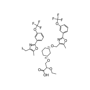 CCOC(CO[C@@H]1CCC[C@H](OCc2nc(-c3cccc(OC(F)(F)F)c3)oc2C)C1)C(=O)O.Cc1oc(-c2cccc(OC(F)(F)F)c2)nc1CI